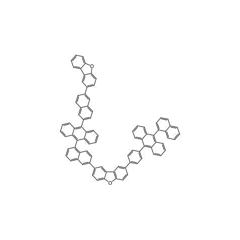 c1ccc2c(-c3c4ccccc4c(-c4ccc(-c5ccc6oc7ccc(-c8ccc9c(-c%10c%11ccccc%11c(-c%11ccc%12cc(-c%13ccc%14oc%15ccccc%15c%14c%13)ccc%12c%11)c%11ccccc%10%11)cccc9c8)cc7c6c5)cc4)c4ccccc34)cccc2c1